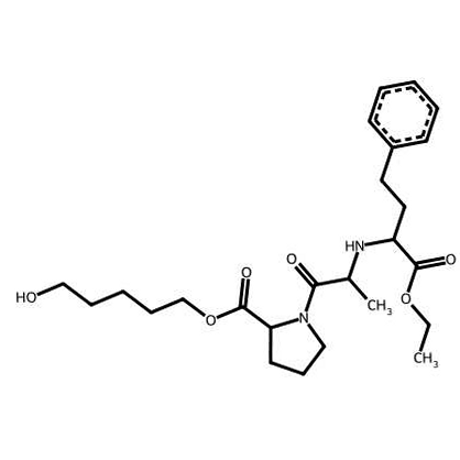 CCOC(=O)C(CCc1ccccc1)NC(C)C(=O)N1CCCC1C(=O)OCCCCCO